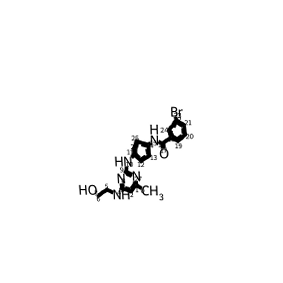 Cc1cc(NCCO)nc(Nc2ccc(NC(=O)c3cccc(Br)c3)cc2)n1